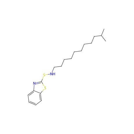 CC(C)CCCCCCCCCNSc1nc2ccccc2s1